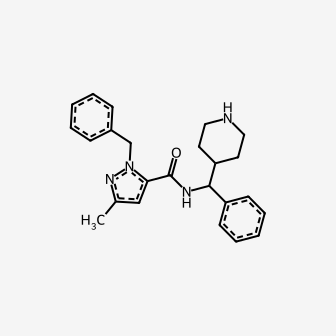 Cc1cc(C(=O)NC(c2ccccc2)C2CCNCC2)n(Cc2ccccc2)n1